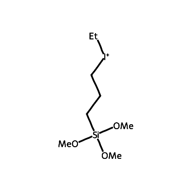 CC[I+]CCC[Si](OC)(OC)OC